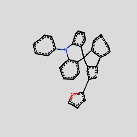 c1ccc(N2c3ccccc3C3(c4ccccc4-c4ccc(-c5ccco5)cc43)c3ccccc32)cc1